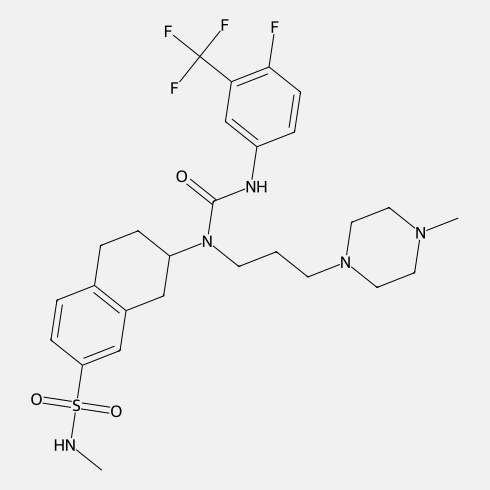 CNS(=O)(=O)c1ccc2c(c1)CC(N(CCCN1CCN(C)CC1)C(=O)Nc1ccc(F)c(C(F)(F)F)c1)CC2